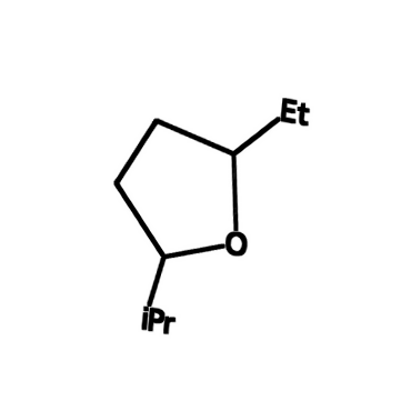 CCC1CCC(C(C)C)O1